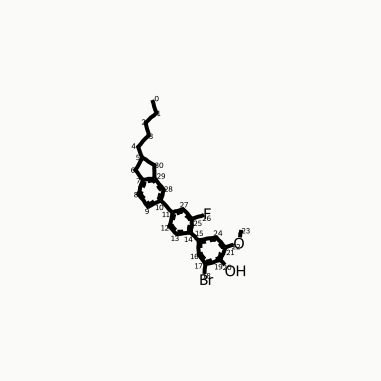 CCCCCC1Cc2ccc(-c3ccc(-c4cc(Br)c(O)c(OC)c4)c(F)c3)cc2C1